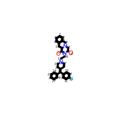 O=C1CN2Cc3ccccc3CC2C(=O)N1CCN1CCC(=C(c2ccccc2)c2ccc(F)cc2)CC1